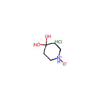 Cl.[O-][NH+]1CCC(O)(O)CC1